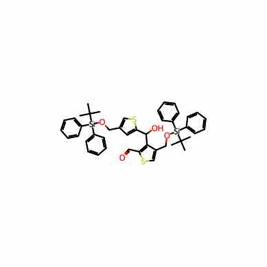 CC(C)(C)[Si](OCc1csc(C(O)c2c(CO[Si](c3ccccc3)(c3ccccc3)C(C)(C)C)csc2C=O)c1)(c1ccccc1)c1ccccc1